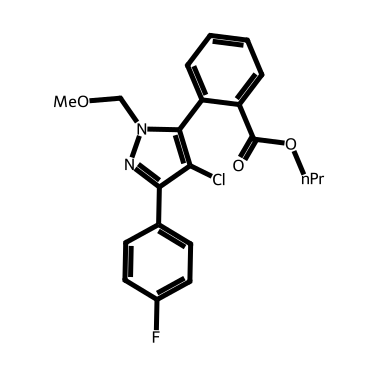 CCCOC(=O)c1ccccc1-c1c(Cl)c(-c2ccc(F)cc2)nn1COC